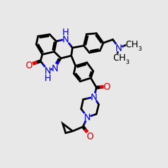 CN(C)Cc1ccc(C2Nc3cccc4c(=O)[nH]nc(c34)C2c2ccc(C(=O)N3CCN(C(=O)C4CC4)CC3)cc2)cc1